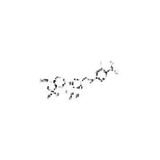 N#Cc1ccc(N2C[C@@H](COc3ccc([N+](=O)[O-])c(F)c3)O[C@@H]2C(F)(F)F)cc1C(F)(F)F